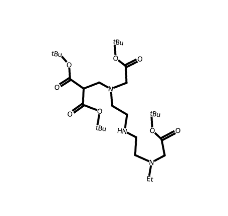 CCN(CCNCCN(CC(=O)OC(C)(C)C)CC(C(=O)OC(C)(C)C)C(=O)OC(C)(C)C)CC(=O)OC(C)(C)C